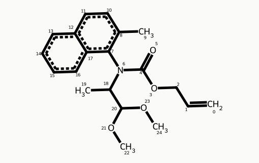 C=CCOC(=O)N(c1c(C)ccc2ccccc12)C(C)C(OC)OC